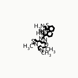 Cc1nc(-c2cc(O[C@@H](C)[C@@H]3CCCN3C)nc(/C(O)=C3\CCC[C@@]4(CCCc5sc(N)c(C#N)c54)C3=N)n2)cs1